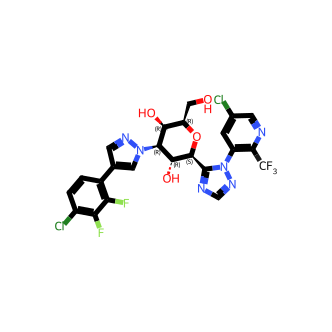 OC[C@H]1O[C@@H](c2ncnn2-c2cc(Cl)cnc2C(F)(F)F)[C@H](O)[C@@H](n2cc(-c3ccc(Cl)c(F)c3F)cn2)[C@H]1O